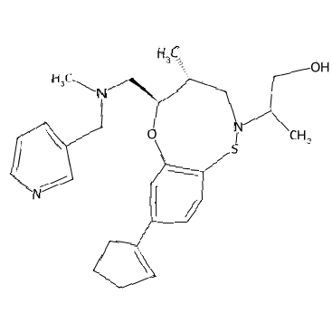 CC(CO)N1C[C@@H](C)[C@H](CN(C)Cc2cccnc2)Oc2cc(C3=CCCC3)ccc2S1